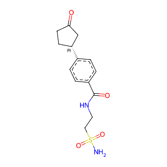 NS(=O)(=O)CCNC(=O)c1ccc([C@@H]2CCC(=O)C2)cc1